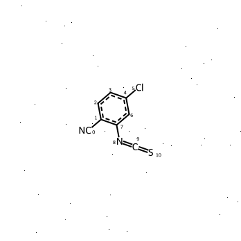 N#Cc1ccc(Cl)cc1N=C=S